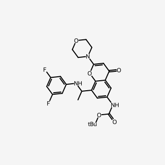 CC(Nc1cc(F)cc(F)c1)c1cc(NC(=O)OC(C)(C)C)cc2c(=O)cc(N3CCOCC3)oc12